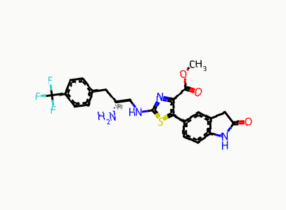 COC(=O)c1nc(NC[C@H](N)Cc2ccc(C(F)(F)F)cc2)sc1-c1ccc2c(c1)CC(=O)N2